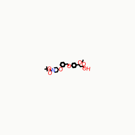 CCOC(CC(=O)O)c1ccc(OCc2cccc(OC3CCN(C(=O)OC(C)(C)C)CC3)c2)cc1